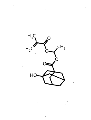 C=C(C)C(=O)OC(C)OC(=O)C12CC3CC(CC(O)(C3)C1)C2